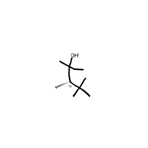 C[C@@H](C(C)(C)C)C(C)(C)O